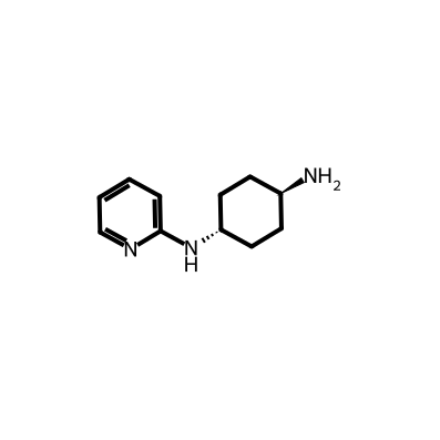 N[C@H]1CC[C@H](Nc2ccccn2)CC1